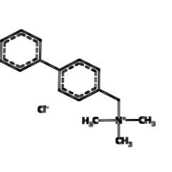 C[N+](C)(C)Cc1ccc(-c2ccccc2)cc1.[Cl-]